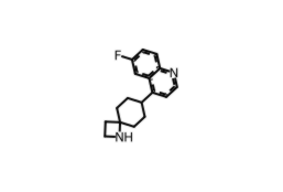 Fc1ccc2nccc(C3CCC4(CCN4)CC3)c2c1